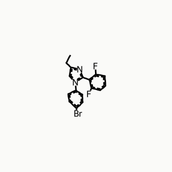 CCc1cn(-c2ccc(Br)cc2)c(-c2c(F)cccc2F)n1